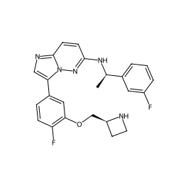 C[C@@H](Nc1ccc2ncc(-c3ccc(F)c(OC[C@@H]4CCN4)c3)n2n1)c1cccc(F)c1